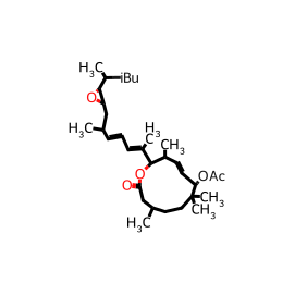 CCC(C)C(C)C1OC1CC(C)/C=C/C=C(\C)C1OC(=O)CC(C)CCC(C)(C)C(OC(C)=O)/C=C/C1C